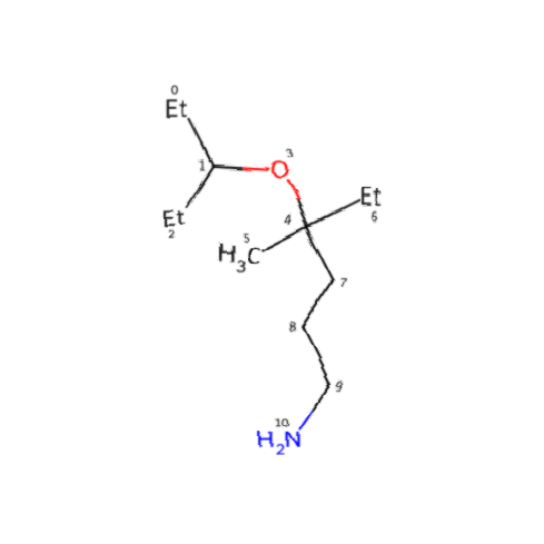 CCC(CC)OC(C)(CC)CCCN